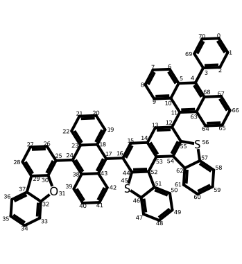 c1ccc(-c2c3ccccc3c(-c3cc4cc(-c5c6ccccc6c(-c6cccc7c6oc6ccccc67)c6ccccc56)c5sc6ccccc6c5c4c4c3sc3ccccc34)c3ccccc23)cc1